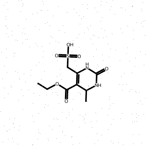 CCOC(=O)C1=C(CS(=O)(=O)O)NC(=O)NC1C